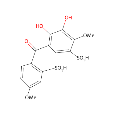 COc1ccc(C(=O)c2cc(S(=O)(=O)O)c(OC)c(O)c2O)c(S(=O)(=O)O)c1